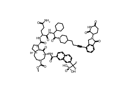 COC(=O)N1CC[C@H]2CC[C@@H](C(=O)NC(CCC(N)=O)C(=O)NC(C(=O)N3CCC(CCC#Cc4cccc5c4CN(C4CCC(=O)NC4=O)C5=O)CC3)C3CCCCC3)N2C(=O)[C@@H](NC(=O)c2ccc3ccc(C(F)(F)P(=O)(O)O)cc3c2)C1